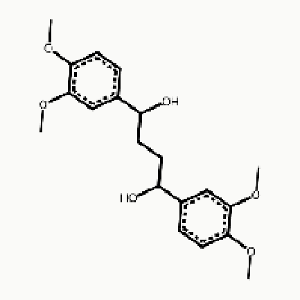 COc1ccc(C(O)CCC(O)c2ccc(OC)c(OC)c2)cc1OC